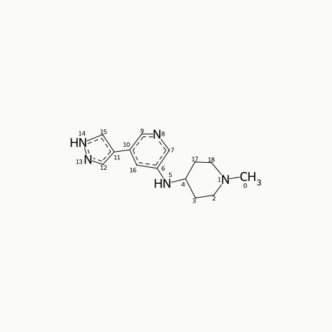 CN1CCC(Nc2cncc(-c3cn[nH]c3)c2)CC1